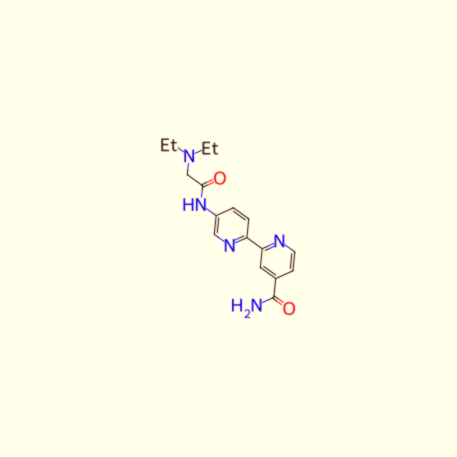 CCN(CC)CC(=O)Nc1ccc(-c2cc(C(N)=O)ccn2)nc1